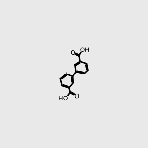 O=C(O)c1cc[c]c(-c2cccc(C(=O)O)c2)c1